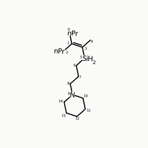 CCCC(CCC)=C(C)[SiH2]CCCN1CCCCC1